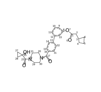 O=C(CC1CCC1)Oc1cccc(-c2ccc(C(=O)N3CCN(C(=O)C4(O)CC4)CC3)cc2)c1